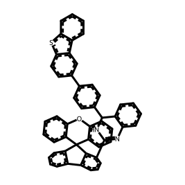 c1ccc2c(c1)N=C(c1cccc3c1C1(c4ccccc4Oc4ccccc41)c1ccccc1-3)NC2c1ccc(-c2ccc3sc4ccccc4c3c2)cc1